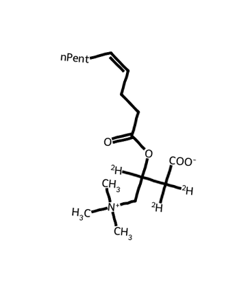 [2H]C(C[N+](C)(C)C)(OC(=O)CC/C=C\CCCCC)C([2H])([2H])C(=O)[O-]